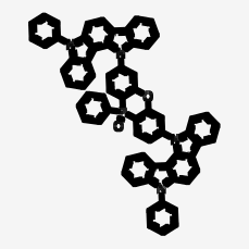 O=P1(c2ccccc2)c2ccc(-n3c4ccccc4c4ccc5c(c6ccccc6n5-c5ccccc5)c43)cc2Oc2cc(-n3c4ccccc4c4ccc5c(c6ccccc6n5-c5ccccc5)c43)ccc21